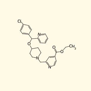 CCOC(=O)c1ccnc(CN2CCC(OC(c3ccc(Cl)cc3)c3ccccn3)CC2)c1